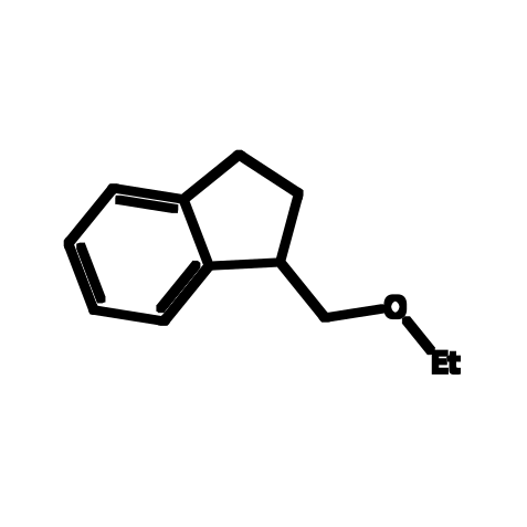 CCOCC1CCc2ccccc21